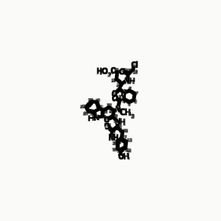 CN(C(=O)[C@@H]1CCCCN1C(=O)C(CCC(=O)O)NC(=O)CCl)C(Cc1c[nH]c2ccccc12)C(=O)NC(Cc1ccc(O)cc1)C(N)=O